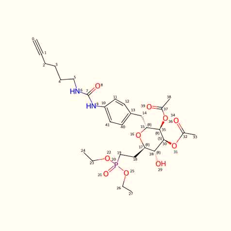 C#CCCCCNC(=O)Nc1ccc(C[C@H]2O[C@H](CCP(=O)(OCC)OCC)[C@@H](O)[C@H](OC(C)=O)[C@@H]2OC(C)=O)cc1